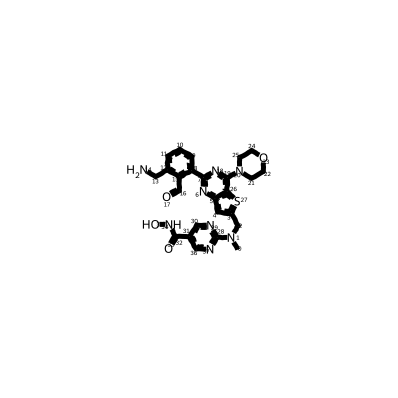 CN(Cc1cc2nc(-c3cccc(CN)c3C=O)nc(N3CCOCC3)c2s1)c1ncc(C(=O)NO)cn1